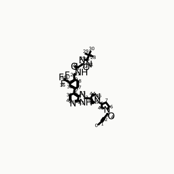 CC#CC(=O)N1CCC(n2cc(-c3nc4c(-c5ccc(CNC(=O)c6nc(C(C)(C)C)no6)c(C(F)(F)F)c5)ccnc4[nH]3)cn2)C1